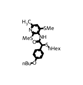 CCCCCCSC(C(=O)Nc1c(SC)cc(C)nc1SC)c1ccc(OCCCC)cc1